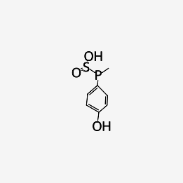 CP(c1ccc(O)cc1)S(=O)O